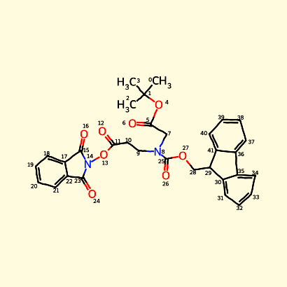 CC(C)(C)OC(=O)CN(CCC(=O)ON1C(=O)c2ccccc2C1=O)C(=O)OCC1c2ccccc2-c2ccccc21